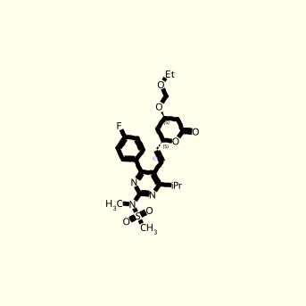 CCOCO[C@@H]1CC(=O)O[C@H](/C=C/c2c(-c3ccc(F)cc3)nc(N(C)S(C)(=O)=O)nc2C(C)C)C1